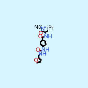 CC(C)CC(NC(=O)c1ccc(NC(=O)NCc2ccco2)cc1)C(=O)N(C)C#N